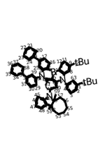 CC(C)(C)c1cccc(N2c3cc(C(C)(C)C)ccc3B3c4ccc(-c5ccccc5)cc4N(c4cccc(-c5ccccc5)c4)c4cc(N5c6ccccc6C6(C)CCCCCCC56C)cc2c43)c1